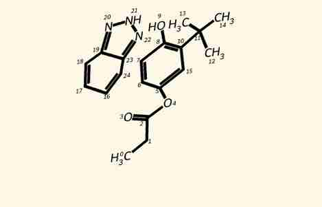 CCC(=O)Oc1ccc(O)c(C(C)(C)C)c1.c1ccc2n[nH]nc2c1